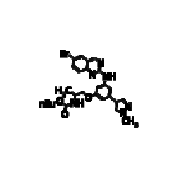 CCCCOC(=O)NC(C)COc1cc(Nc2ncc3cc(Br)ccc3n2)cc(-c2cnn(C)c2)c1